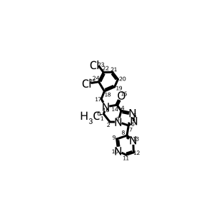 C[C@H]1Cn2c(nnc2-c2cnccn2)C(=O)N1Cc1cccc(Cl)c1Cl